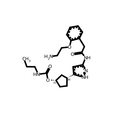 CCCNC(=O)O[C@H]1CC[C@@H](c2cc(NC(=O)Cc3ccccc3OCCN)n[nH]2)C1